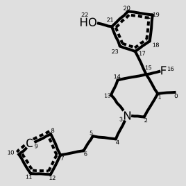 CC1CN(CCCc2ccccc2)CCC1(F)c1cccc(O)c1